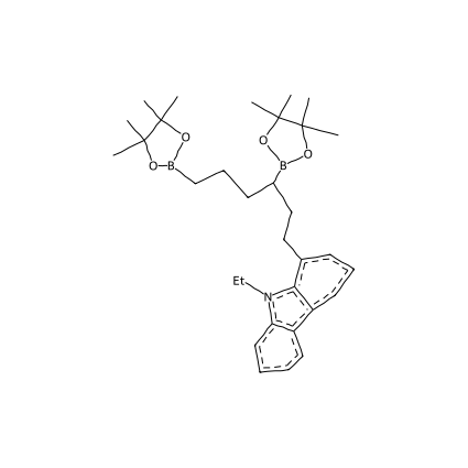 CCn1c2ccccc2c2cccc(CCC(CCCB3OC(C)(C)C(C)(C)O3)B3OC(C)(C)C(C)(C)O3)c21